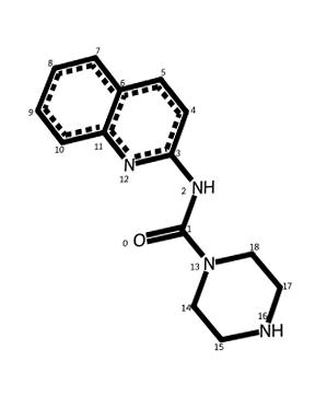 O=C(Nc1ccc2ccccc2n1)N1CCNCC1